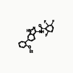 CCOc1ccccc1-c1ccc2c(NC(=O)c3c(F)ccc(F)c3F)n[nH]c2c1